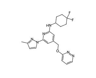 Cc1ccn(-c2cc(COc3cccnn3)cc(NC3CCC(F)(F)CC3)n2)n1